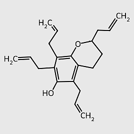 C=CC[C]1CCc2c(CC=C)c(O)c(CC=C)c(CC=C)c2O1